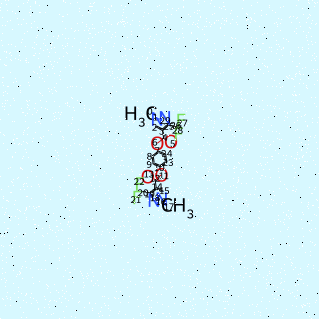 Cn1cc(C(=O)Oc2ccc(OC(=O)c3cn(C)nc3C(F)F)cc2)c(C(F)F)n1